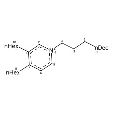 CCCCCCCCCCCCC[n+]1ccc(CCCCCC)c(CCCCCC)c1